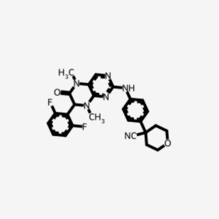 CN1C(=O)C(c2c(F)cccc2F)N(C)c2nc(Nc3ccc(C4(C#N)CCOCC4)cc3)ncc21